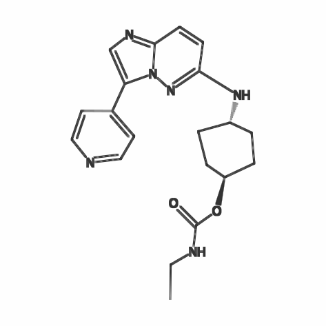 CCNC(=O)O[C@H]1CC[C@H](Nc2ccc3ncc(-c4ccncc4)n3n2)CC1